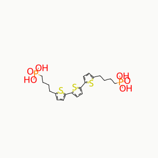 O=P(O)(O)CCCCc1ccc(-c2ccc(-c3ccc(CCCCP(=O)(O)O)s3)s2)s1